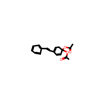 CC(=O)OC1(OC(C)=O)C=CC(C=Cc2ccccc2)=CC1